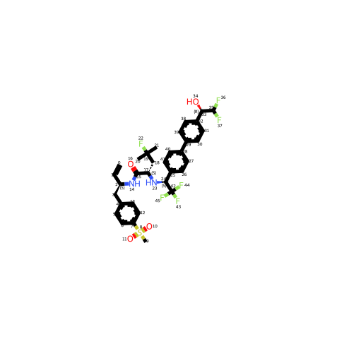 C=C[C@H](Cc1ccc(S(C)(=O)=O)cc1)NC(=O)[C@H](CC(C)(C)F)N[C@@H](c1ccc(-c2ccc([C@@H](O)C(F)F)cc2)cc1)C(F)(F)F